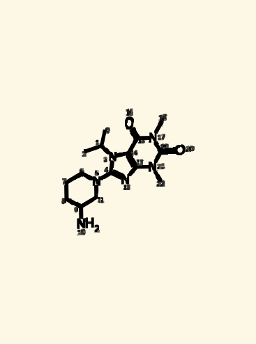 CC(C)n1c(N2CCCC(N)C2)nc2c1c(=O)n(C)c(=O)n2C